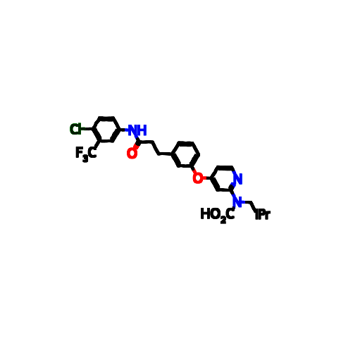 CC(C)CN(C(=O)O)c1cc(Oc2cccc(CCC(=O)Nc3ccc(Cl)c(C(F)(F)F)c3)c2)ccn1